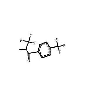 CC(C(=O)c1ccc(C(F)(F)F)cc1)C(F)(F)F